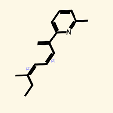 C=C(/C=C\C=C(\C)CC)c1cccc(C)n1